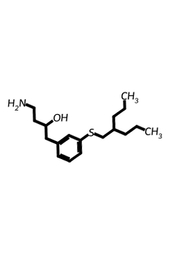 CCCC(CCC)CSc1cccc(CC(O)CCN)c1